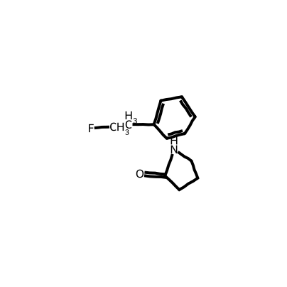 CF.Cc1ccccc1.O=C1CCCN1